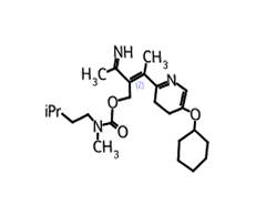 CC(=N)/C(COC(=O)N(C)CCC(C)C)=C(\C)C1=NC=C(OC2CCCCC2)CC1